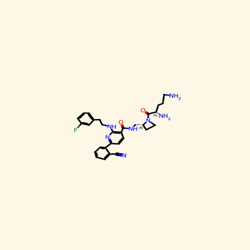 N#Cc1ccccc1-c1ccc(C(=O)NC[C@H]2CCN2C(=O)[C@@H](N)CCCN)c(NCCc2cccc(F)c2)n1